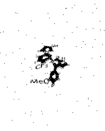 COc1cc(-c2nn(-c3cc(N4CC[C@H](O)C4)ccc3C(F)(F)F)c(=O)c3[nH]ccc23)ccc1F